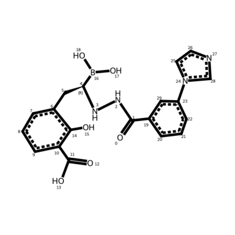 O=C(NN[C@@H](Cc1cccc(C(=O)O)c1O)B(O)O)c1cccc(-n2ccnc2)c1